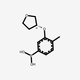 Cc1ccc(B(O)O)cc1O[C@@H]1CCOC1